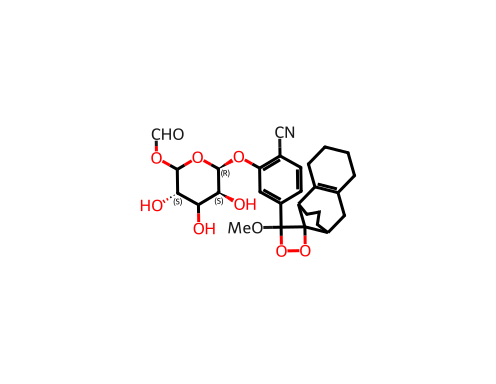 COC1(c2ccc(C#N)c(O[C@@H]3OC(OC=O)[C@@H](O)C(O)[C@@H]3O)c2)OOC12C1CCCC2C2=C(CCCC2)C1